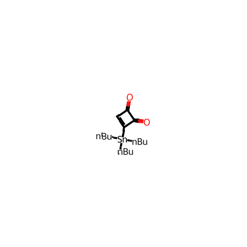 CCC[CH2][Sn]([CH2]CCC)([CH2]CCC)[c]1cc(=O)c1=O